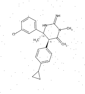 C=C1[C@@H](c2ccc(C3CC3)cc2)[C@@](C)(c2cccc(Cl)c2)NC(=N)N1C